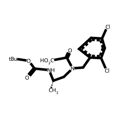 C[C@@H](CN(Cc1ccc(Cl)cc1Cl)C(=O)C(=O)O)NC(=O)OC(C)(C)C